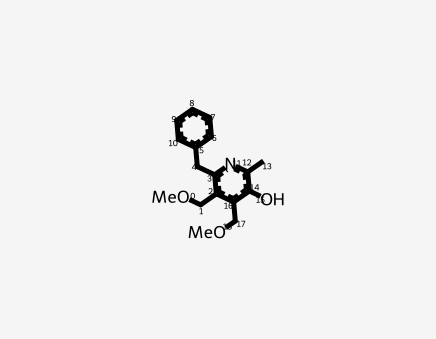 COCc1c(Cc2ccccc2)nc(C)c(O)c1COC